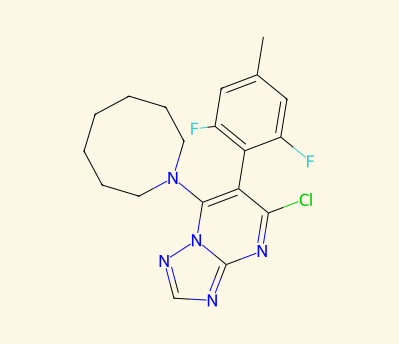 Cc1cc(F)c(-c2c(Cl)nc3ncnn3c2N2CCCCCCC2)c(F)c1